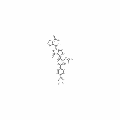 CC(=O)N1CCCC1C(=O)N1CC(=O)C2C1CCN2C(=O)C(CC(C)C)NC(=O)c1ccc(N2CCCC2)cc1